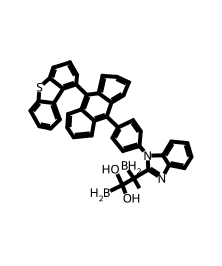 BC(O)(O)C(B)(C)c1nc2ccccc2n1-c1ccc(-c2c3ccccc3c(-c3cccc4sc5ccccc5c34)c3ccccc23)cc1